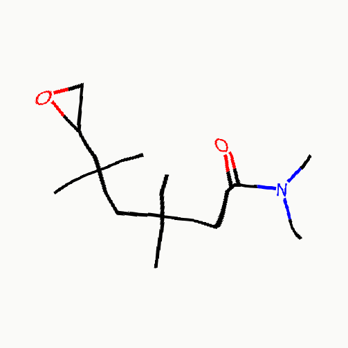 CN(C)C(=O)CC(C)(C)CC(C)(C)C1CO1